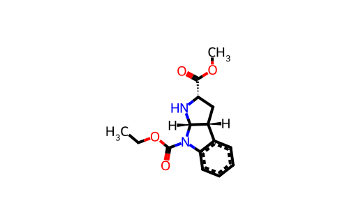 CCOC(=O)N1c2ccccc2[C@H]2C[C@@H](C(=O)OC)N[C@H]21